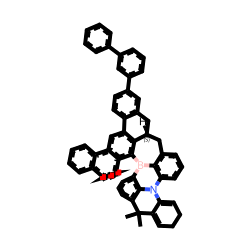 CC1(C)C2=CCCC=C2N2c3cccc4c3B(c3cccc1c32)c1c2c(cc3c5ccccc5c5ccccc5c13)-c1ccc(-c3cccc(-c5ccccc5)c3)cc1C[C@@H]2C4